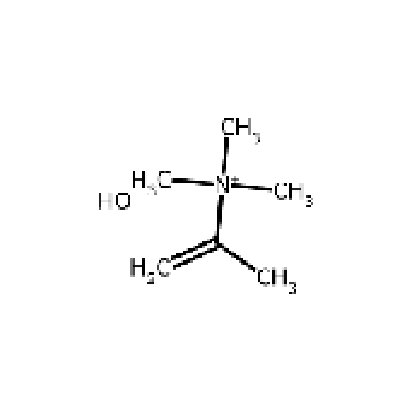 C=C(C)[N+](C)(C)C.[OH-]